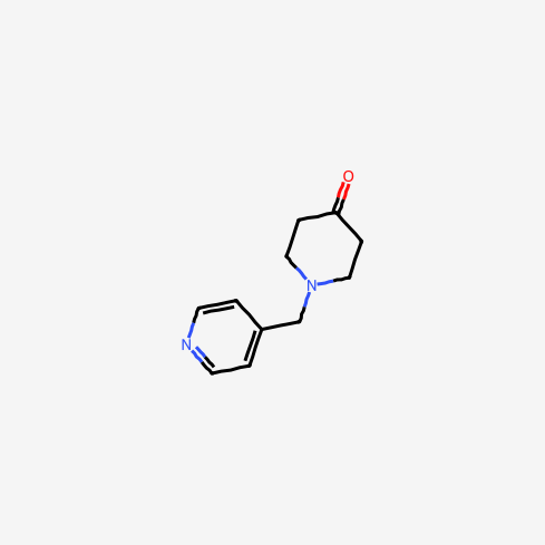 O=C1CCN(Cc2ccncc2)CC1